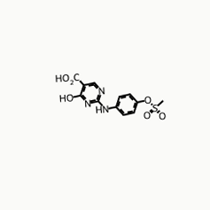 CS(=O)(=O)Oc1ccc(Nc2ncc(C(=O)O)c(O)n2)cc1